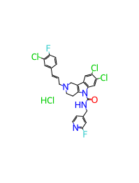 Cl.O=C(NCc1ccnc(F)c1)n1c2c(c3cc(Cl)c(Cl)cc31)CN(C/C=C/c1ccc(F)c(Cl)c1)CC2